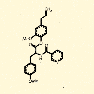 C=CCc1ccc(OC(=O)C(Cc2ccc(OC)cc2)NC(=O)c2cccnc2)c(OC)c1